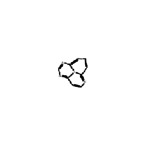 C1=CC2=NC=CC3=NC=NC(=C1)N23